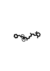 CC(C=CC1=C(C)CCCC1(C)C)=CC=CC(C)=CC(=O)OCCc1ccccc1